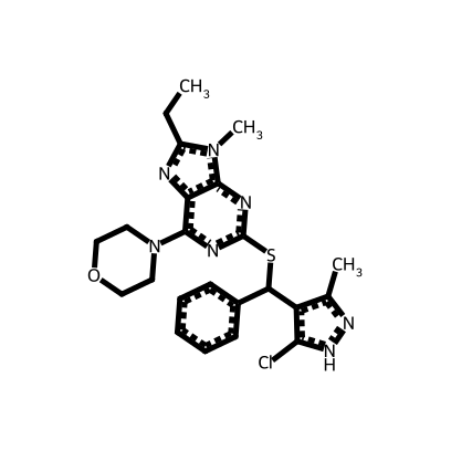 CCc1nc2c(N3CCOCC3)nc(SC(c3ccccc3)c3c(C)n[nH]c3Cl)nc2n1C